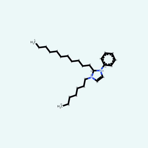 CCCCCCCCCCCC1N(CCCCCCC)C=CN1c1ccccc1